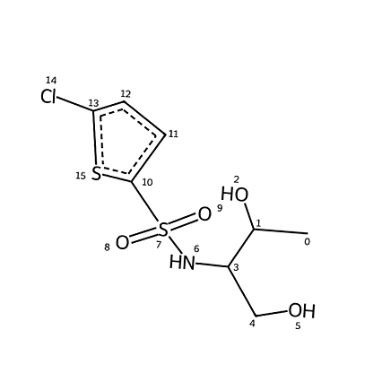 CC(O)C(CO)NS(=O)(=O)c1ccc(Cl)s1